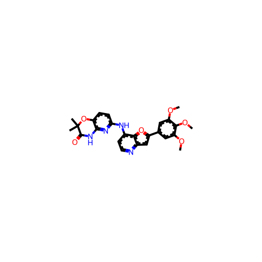 COc1cc(-c2cc3nccc(Nc4ccc5c(n4)NC(=O)C(C)(C)O5)c3o2)cc(OC)c1OC